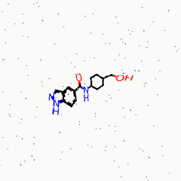 O=C(NC1CCC(CO)CC1)c1ccc2[nH]ncc2c1